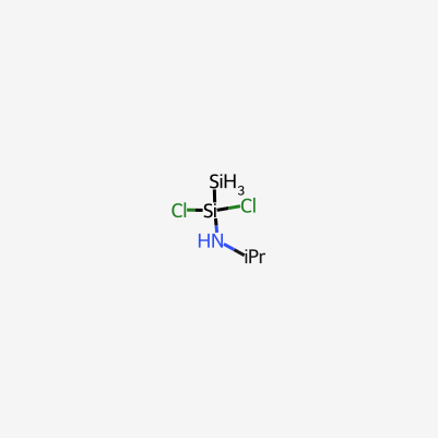 CC(C)N[Si]([SiH3])(Cl)Cl